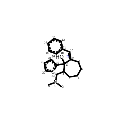 CN(C)CC1CCCC/C(=C/c2ccccc2)C1(O)c1cccs1